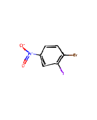 O=[N+]([O-])c1ccc(Br)c(I)c1